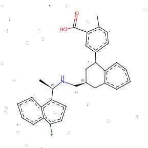 Cc1ccc(C2C[C@H](CN[C@H](C)c3ccc(F)c4ccccc34)Cc3ccccc32)cc1C(=O)O